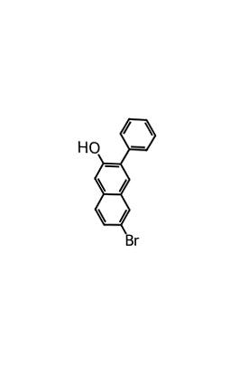 Oc1cc2ccc(Br)cc2cc1-c1ccccc1